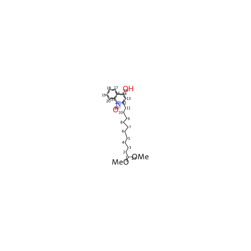 COC(CCCCCCCCCCc1cc(O)c2ccccc2[n+]1[O-])OC